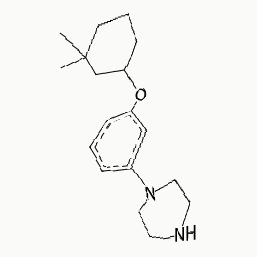 CC1(C)CCCC(Oc2cccc(N3CCNCC3)c2)C1